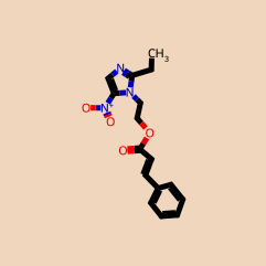 CCc1ncc([N+](=O)[O-])n1CCOC(=O)/C=C/c1ccccc1